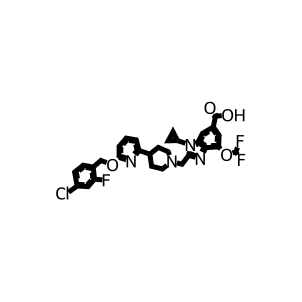 O=C(O)c1cc(OC(F)F)c2nc(CN3CCC(c4cccc(OCc5ccc(Cl)cc5F)n4)CC3)n(C3CC3)c2c1